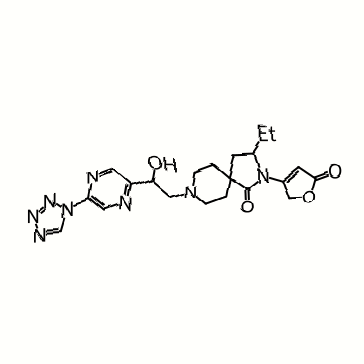 CCC1CC2(CCN(CC(O)c3cnc(-n4cnnn4)cn3)CC2)C(=O)N1C1=CC(=O)OC1